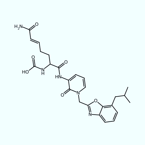 CC(C)Cc1cccc2nc(Cn3cccc(NC(=O)C(CCC=CC(N)=O)NC(=O)O)c3=O)oc12